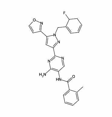 Cc1ccccc1C(=O)Nc1cnc(-c2cc(-c3ccon3)n(CC3=CC=CCC3F)n2)nc1N